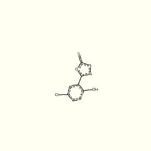 O=c1oc(-c2cc(Cl)ccc2O)ns1